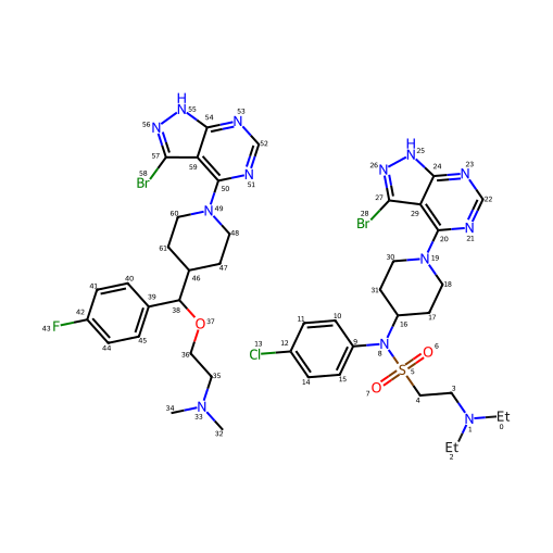 CCN(CC)CCS(=O)(=O)N(c1ccc(Cl)cc1)C1CCN(c2ncnc3[nH]nc(Br)c23)CC1.CN(C)CCOC(c1ccc(F)cc1)C1CCN(c2ncnc3[nH]nc(Br)c23)CC1